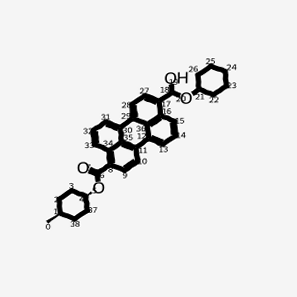 C[C@H]1CC[C@H](OC(=O)c2ccc3c4cccc5c(C(O)OC6CCCCC6)ccc(c6cccc2c36)c54)CC1